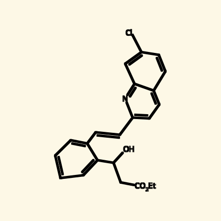 CCOC(=O)CC(O)c1ccccc1C=Cc1ccc2ccc(Cl)cc2n1